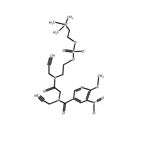 C#CCN(CCOP(=O)([O-])OCC[N+](C)(C)C)C(=O)CN(CC#C)C(=O)c1cnc(SC)c([N+](=O)[O-])c1